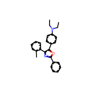 CCN(CC)c1ccc(-c2oc(-c3ccccc3)nc2-c2ccccc2C)cc1